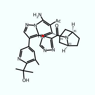 CC(=O)c1c([C@@H]2C[C@H]3CC[C@@H](C2)N3C(=O)c2nnc[nH]2)nc2c(-c3cnc(C(C)(C)O)c(C)c3)cnn2c1N